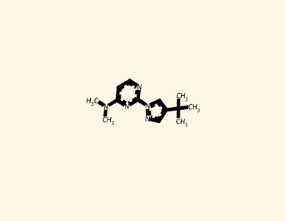 CN(C)c1ccnc(-n2cc(C(C)(C)C)cn2)n1